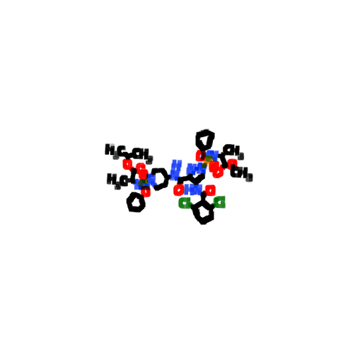 COC(=O)[C@H](C)NP(=O)(Oc1ccccc1)n1cc(NC(=O)c2c(Cl)cccc2Cl)c(C(=O)NC2CCN(P(=O)(N[C@@H](C)C(=O)OC(C)C)Oc3ccccc3)CC2)n1